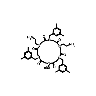 CCCCN1CC(=O)N(Cc2cc(C)cc(C)c2)CC(=O)N(CCN)CC(=O)N(Cc2cc(C)cc(C)c2)CC(=O)N(CCN)CC(=O)N(Cc2cc(C)cc(C)c2)CC1=O